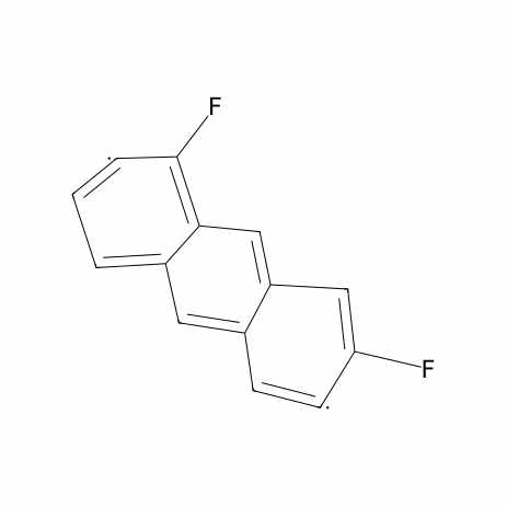 Fc1[c]cc2cc3cc[c]c(F)c3cc2c1